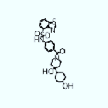 O=C(c1ccc(NS(=O)(=O)c2cccc3scnc23)cc1)N1CCC(O)(C2CCC(O)CC2)CC1